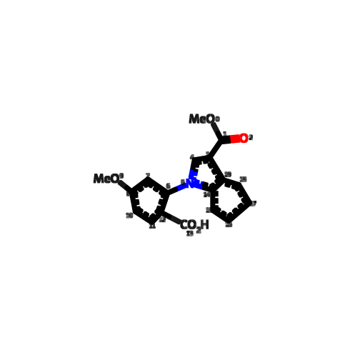 COC(=O)c1cn(-c2cc(OC)ccc2C(=O)O)c2ccccc12